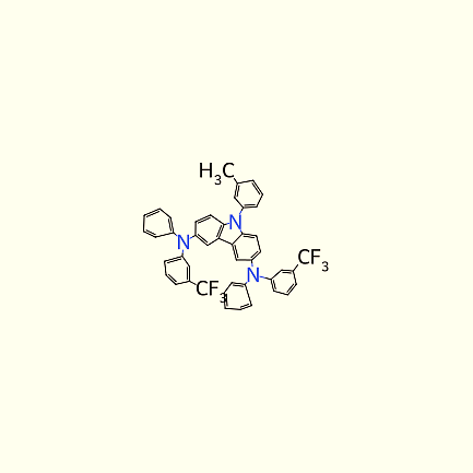 Cc1cccc(-n2c3ccc(N(c4ccccc4)c4cccc(C(F)(F)F)c4)cc3c3cc(N(c4ccccc4)c4cccc(C(F)(F)F)c4)ccc32)c1